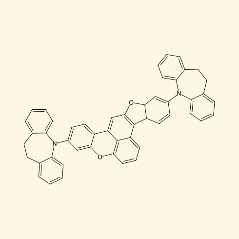 C1=CC2c3c(cc4c5c(cccc35)Oc3cc(N5c6ccccc6CCc6ccccc65)ccc3-4)OC2C=C1N1c2ccccc2CCc2ccccc21